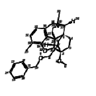 CO[C@]12CC[C@@]3(C[C@H]1COCc1ccccc1)[C@H]1Cc4ccc(C)c5c4[C@@]3(CCN1C)C2O5